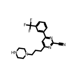 N#Cc1nc(CCCN2CCNCC2)cc(-c2cccc(C(F)(F)F)c2)n1